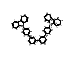 C1=Cc2c(c3ccccc3n2-c2ccc(-c3cccc(-c4cccc(-c5ccc(-n6c7c(c8ccccc86)CCC=C7)cc5)c4)c3)cc2)CC1